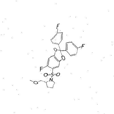 COCC1CCCN1S(=O)(=O)c1cc2c(cc1F)OC(c1ccc(F)cc1)(c1ccc(F)cc1)O2